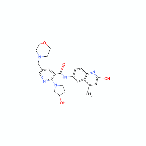 Cc1cc(O)nc2ccc(NC(=O)c3cc(CN4CCOCC4)cnc3N3CCC(O)C3)cc12